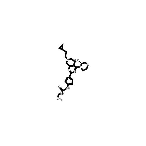 CCNC(=O)Nc1ccc(-c2nc3c(c(N4CCOC[C@@H]4C)n2)CCN(CCC2CC2)C3)cc1